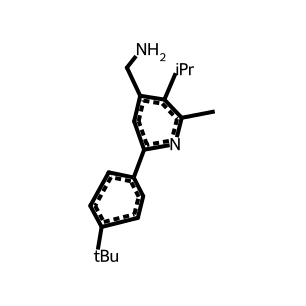 Cc1nc(-c2ccc(C(C)(C)C)cc2)cc(CN)c1C(C)C